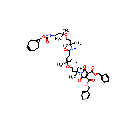 CC(C)(CCOC(C)(C)CCNC(=O)OC1C2CCC#CCCC21)NC(=O)CCC(C)(C)OCCC(C)(C)N1C(=O)C(C(=O)OCc2ccccc2)=C(C(=O)OCc2ccccc2)C1=O